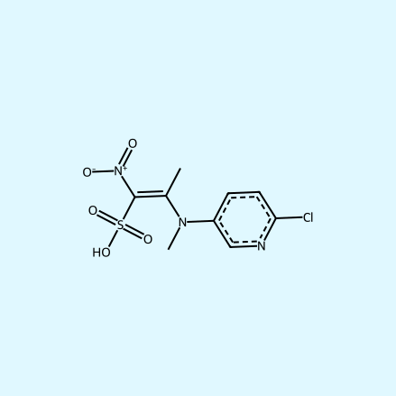 CC(=C([N+](=O)[O-])S(=O)(=O)O)N(C)c1ccc(Cl)nc1